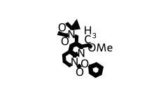 COC(C)c1nc2c(cc1CN1C(=O)COCC13CC3)CCCN2C(=O)Oc1ccccc1